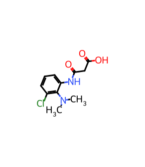 CN(C)c1c(Cl)cccc1NC(=O)CC(=O)O